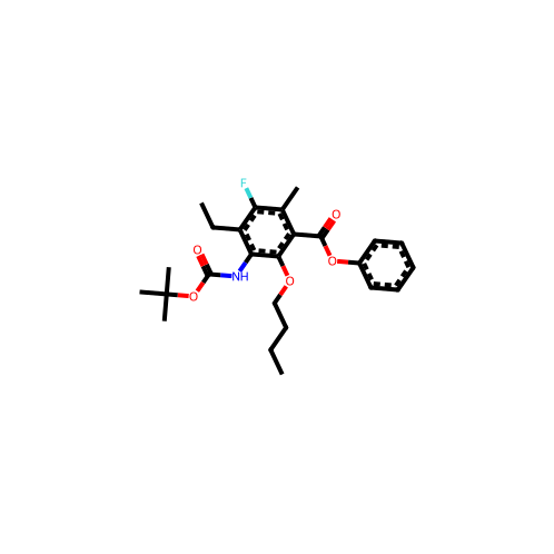 CCCCOc1c(NC(=O)OC(C)(C)C)c(CC)c(F)c(C)c1C(=O)Oc1ccccc1